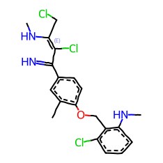 CN/C(CCl)=C(/Cl)C(=N)c1ccc(OCc2c(Cl)cccc2NC)c(C)c1